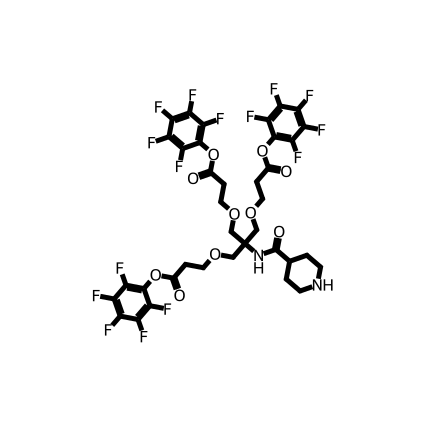 O=C(CCOCC(COCCC(=O)Oc1c(F)c(F)c(F)c(F)c1F)(COCCC(=O)Oc1c(F)c(F)c(F)c(F)c1F)NC(=O)C1CCNCC1)Oc1c(F)c(F)c(F)c(F)c1F